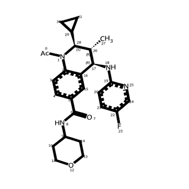 CC(=O)N1c2ccc(C(=O)NC3CCOCC3)cc2[C@H](Nc2ccc(F)cn2)[C@@H](C)[C@@H]1C1CC1